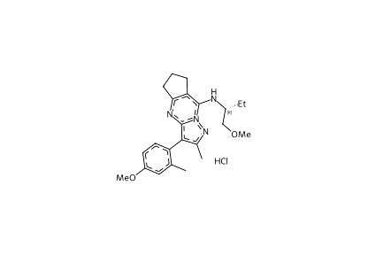 CC[C@H](COC)Nc1c2c(nc3c(-c4ccc(OC)cc4C)c(C)nn13)CCC2.Cl